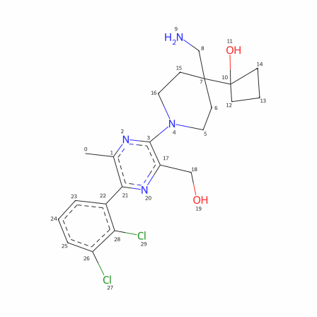 Cc1nc(N2CCC(CN)(C3(O)CCC3)CC2)c(CO)nc1-c1cccc(Cl)c1Cl